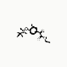 CCOC(=O)C(=O)c1ccc(O[Si](C)(C)C(C)(C)C)c(C)c1